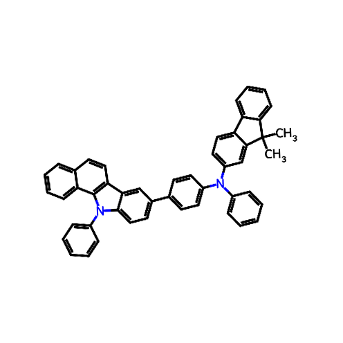 CC1(C)c2ccccc2-c2ccc(N(c3ccccc3)c3ccc(-c4ccc5c(c4)c4ccc6ccccc6c4n5-c4ccccc4)cc3)cc21